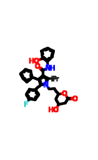 CC(C)c1c(C(=O)Nc2ccccc2O)c(-c2ccccc2)c(-c2ccc(F)cc2)n1CCC1CC(O)CC(=O)O1